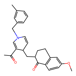 COc1ccc2c(c1)CCC(CC1C=CN(Cc3cccc(C)c3)C=C1C(C)=O)C2=O